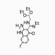 CCN=C(NCC(OCC)OCC)c1c(N)[nH]c2cc(I)ccc2c1=O